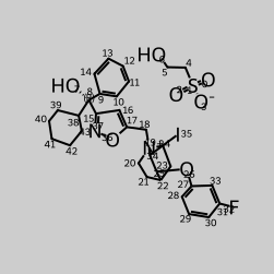 O=S(=O)([O-])CCO.O[C@](c1ccccc1)(c1cc(C[N+]23CCC(CC2)C(Oc2cccc(F)c2)C3I)on1)C1CCCCC1